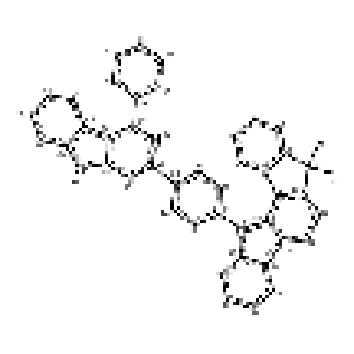 CC1(C)c2ccccc2-c2c1ccc1c3ccccc3n(-c3ccc(-c4nc(-c5ccccc5)c5c(n4)oc4ccccc45)cc3)c21